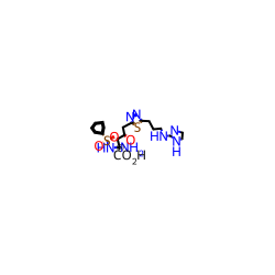 N[C@@](CC(=O)Cc1nnc(CCCNC2=NCCN2)s1)(NS(=O)(=O)c1ccccc1)C(=O)O